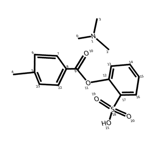 CN(C)C.Cc1ccc(C(=O)Oc2ccccc2S(=O)(=O)O)cc1